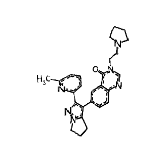 Cc1cccc(-c2nn3c(c2-c2ccc4ncn(CCN5CCCC5)c(=O)c4c2)CCC3)n1